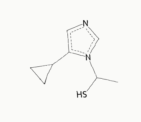 CC(S)n1cncc1C1CC1